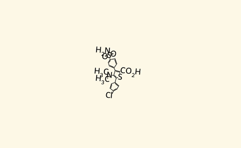 CN(C)c1c(-c2ccc(Cl)cc2)sc(C(=O)O)c1-c1ccc(S(N)(=O)=O)cc1